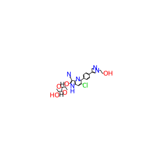 N#Cc1c(O[C@@H]2CO[C@H]3[C@@H]2OC[C@H]3O)[nH]c2cc(Cl)c(-c3ccc(-c4cnn(CCO)c4)cc3)nc12